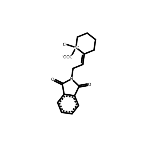 O=C1c2ccccc2C(=O)N1CC=C1CCCC[N+]1(Cl)C(=O)[O-]